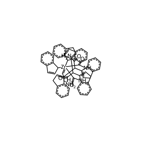 C[CH]=[Zr]([CH]1C=Cc2ccccc21)([CH]1C=Cc2ccccc21)([C](C(N)=O)(C1=CCc2ccccc21)C(C(N)=O)C1=CCc2ccccc21)[C](C(N)=O)(C1=CCc2ccccc21)C(C(N)=O)C1=CCc2ccccc21